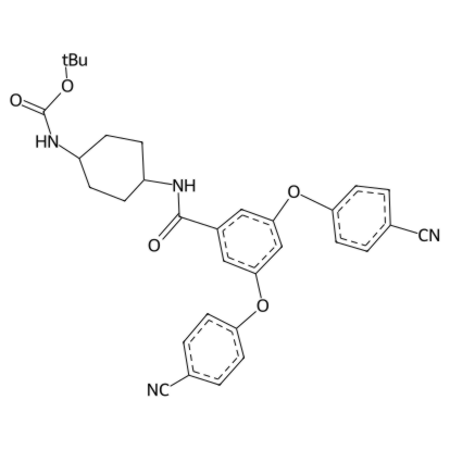 CC(C)(C)OC(=O)NC1CCC(NC(=O)c2cc(Oc3ccc(C#N)cc3)cc(Oc3ccc(C#N)cc3)c2)CC1